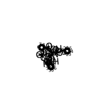 CC(=O)Oc1ccccc1C(=O)O[C@H](C)[C@H](NC(=O)OCc1ccccc1)C(=O)On1nnc2ccccc21